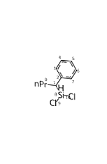 CCCC(c1ccccc1)[SiH](Cl)Cl